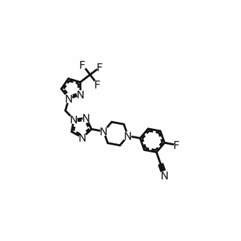 N#Cc1cc(N2CCN(c3ncn(Cn4ccc(C(F)(F)F)n4)n3)CC2)ccc1F